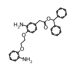 Nc1ccccc1OCCOc1ccc(CC(=O)OC(c2ccccc2)c2ccccc2)cc1N